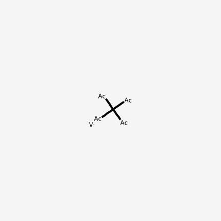 CC(=O)C(C(C)=O)(C(C)=O)C(C)=O.[V]